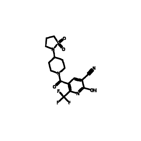 N#Cc1cc(C(=O)N2CCC(N3CCCS3(=O)=O)CC2)c(C(F)(F)F)nc1O